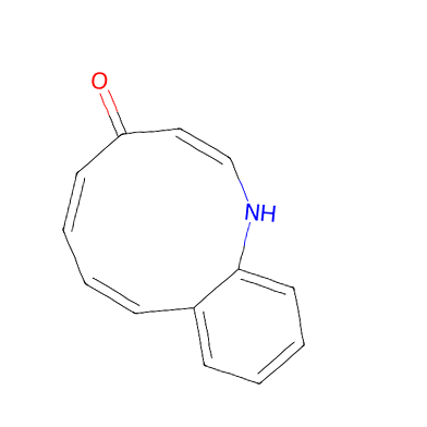 O=c1ccccc2ccccc2[nH]cc1